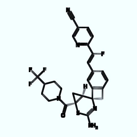 N#Cc1ccc(/C(F)=C/c2ccc3c(c2)[C@@]2(C3)N=C(N)S[C@@]3(C(=O)N4CCC(C(F)(F)F)CC4)C[C@H]32)nc1